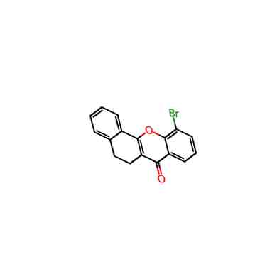 O=c1c2c(oc3c(Br)cccc13)-c1ccccc1CC2